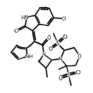 CC1CN(C(=O)C(=C2C(=O)Nc3ccc(Cl)cc32)c2ccc[nH]2)C1N1C(S(C)(=O)=O)COCC1(C)S(C)(=O)=O